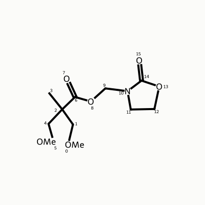 COCC(C)(COC)C(=O)OCN1CCOC1=O